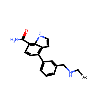 CC(=O)CNCc1cccc(-c2ccc(C(N)=O)c3[nH]ccc23)c1